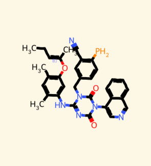 CC/C=C(\C)Oc1cc(Nc2nc(=O)n(-c3cncc4ccccc34)c(=O)n2Cc2ccc(P)c(C#N)c2)c(C)cc1C